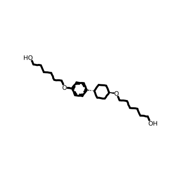 OCCCCCCOc1ccc([C@H]2CC[C@H](OCCCCCCO)CC2)cc1